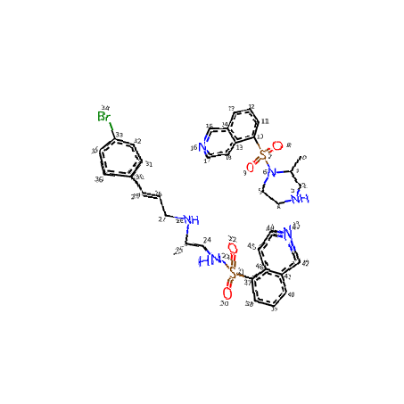 CC1CNCCN1S(=O)(=O)c1cccc2cnccc12.O=S(=O)(NCCNCC=Cc1ccc(Br)cc1)c1cccc2cnccc12